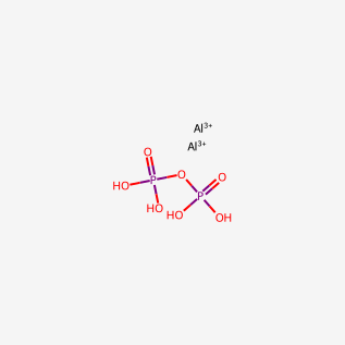 O=P(O)(O)OP(=O)(O)O.[Al+3].[Al+3]